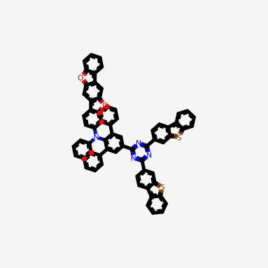 c1ccc(-c2cc(-c3nc(-c4ccc5c(c4)sc4ccccc45)nc(-c4ccc5c(c4)sc4ccccc45)n3)cc(-c3ccccc3)c2N(c2ccccc2)c2ccc3c(c2)oc2cc4c(cc23)oc2ccccc24)cc1